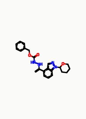 C=C(NNC(=O)OCc1ccccc1)c1cccc2c1cnn2C1CCCCO1